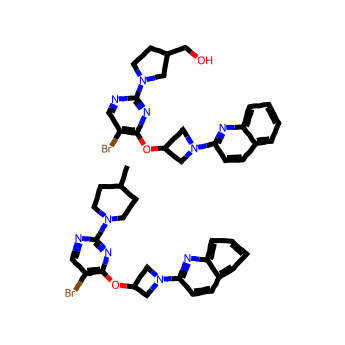 CC1CCN(c2ncc(Br)c(OC3CN(c4ccc5ccccc5n4)C3)n2)CC1.OCC1CCN(c2ncc(Br)c(OC3CN(c4ccc5ccccc5n4)C3)n2)C1